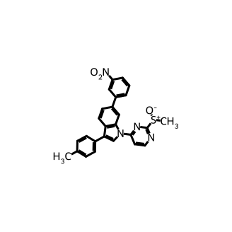 Cc1ccc(-c2cn(-c3ccnc([S+](C)[O-])n3)c3cc(-c4cccc([N+](=O)[O-])c4)ccc23)cc1